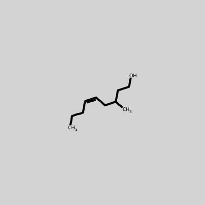 CCC/C=C\CC(C)CCO